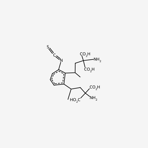 CC(CC(N)(C(=O)O)C(=O)O)c1cccc(N=C=S)c1C(C)CC(N)(C(=O)O)C(=O)O